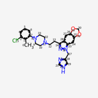 Cc1c(Cl)cccc1N1CCN(CCc2nn(Cc3c[nH]cn3)c3cc4c(cc23)OCO4)CC1